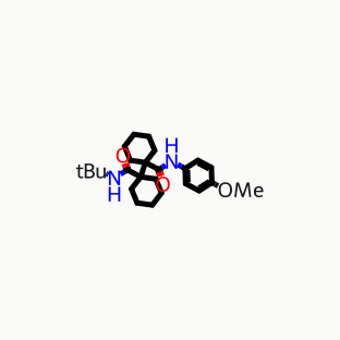 COc1ccc(NC(=O)C2(C3(C(=O)NC(C)(C)C)CCCCC3)CCCCC2)cc1